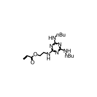 C=CC(=O)OCCNc1nc(NCCCC)nc(NCCCC)n1